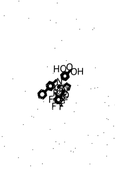 O=C(O)c1ccc(N(Cc2ccc(C3CCCCC3)cc2)C(=O)[C@H]2CCCN2S(=O)(=O)c2c(F)c(F)c(F)c(F)c2F)cc1O